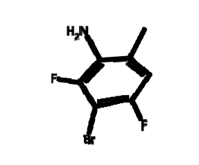 Cc1cc(F)c(Br)c(F)c1N